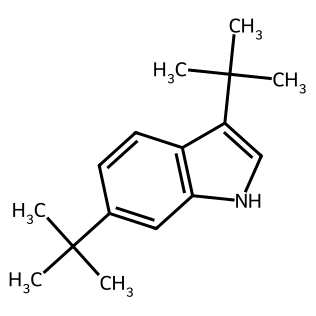 CC(C)(C)c1ccc2c(C(C)(C)C)c[nH]c2c1